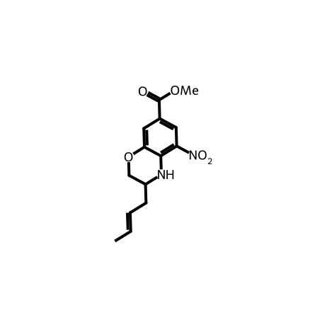 CC=CCC1COc2cc(C(=O)OC)cc([N+](=O)[O-])c2N1